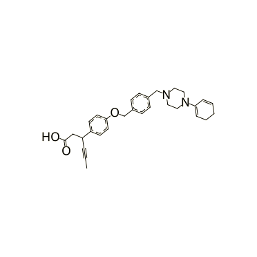 CC#CC(CC(=O)O)c1ccc(OCc2ccc(CN3CCN(C4=CCCC=C4)CC3)cc2)cc1